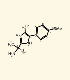 CSc1ccc(-c2[nH]c(C(N)(C(F)(F)F)C(F)(F)F)nc2C(C)C)cc1